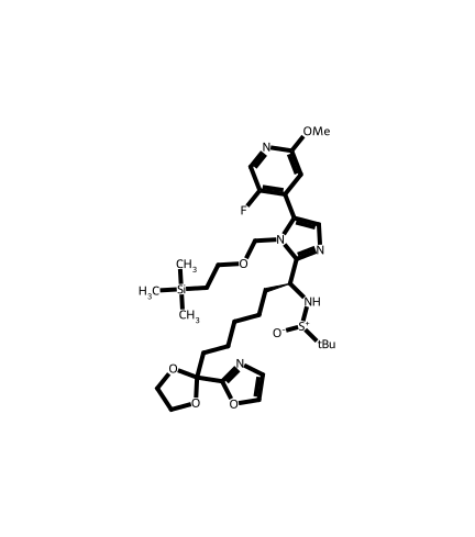 COc1cc(-c2cnc([C@H](CCCCCC3(c4ncco4)OCCO3)N[S+]([O-])C(C)(C)C)n2COCC[Si](C)(C)C)c(F)cn1